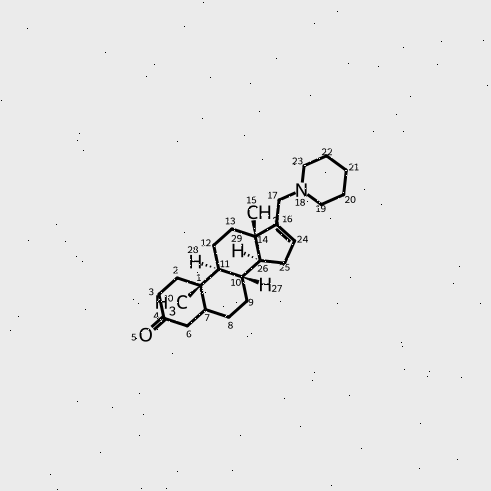 C[C@]12CCC(=O)CC1CC[C@@H]1[C@@H]2CC[C@]2(C)C(CN3CCCCC3)=CC[C@@H]12